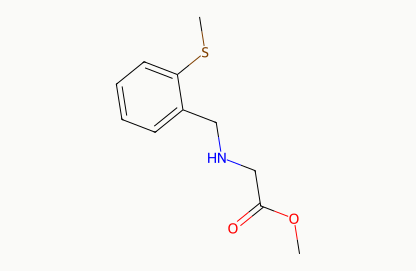 COC(=O)CNCc1ccccc1SC